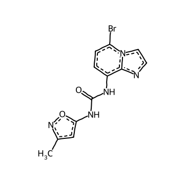 Cc1cc(NC(=O)Nc2ccc(Br)n3ccnc23)on1